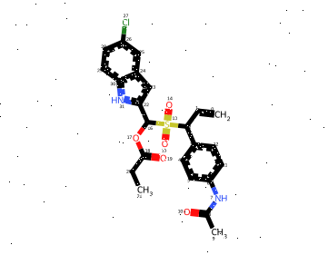 C=CC(c1ccc(NC(C)=O)cc1)S(=O)(=O)C(OC(=O)CC)c1cc2cc(Cl)ccc2[nH]1